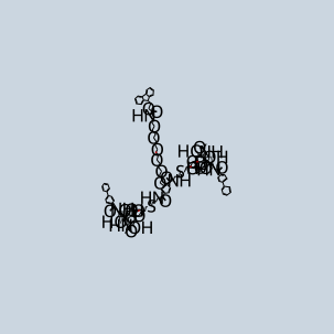 COC(=O)C1(OCCCSCCNC(=O)c2ccc(C(=O)NCCSCCCOC3(C(=O)OC)CC(O)C(NC(C)=O)C([C@H](O)[C@H](O)CNC(=O)c4ccc(-c5ccccc5)cc4)O3)c(OCCOCCOCCOCCOCCOCCNC(=O)OCC3c4ccccc4-c4ccccc43)c2)CC(O)C(NC(C)=O)C([C@H](O)[C@H](O)CNC(=O)c2ccc(-c3ccccc3)cc2)O1